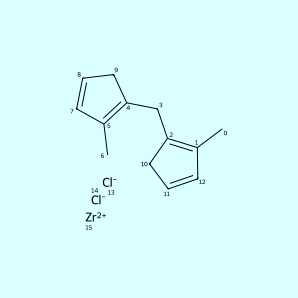 CC1=C(CC2=C(C)C=CC2)CC=C1.[Cl-].[Cl-].[Zr+2]